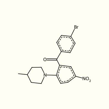 CC1CCN(c2ccc([N+](=O)[O-])cc2C(=O)c2ccc(Br)cc2)CC1